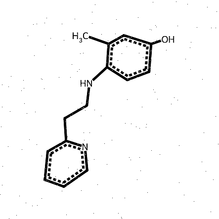 Cc1cc(O)ccc1NCCc1ccccn1